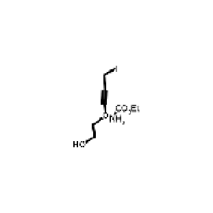 CCOC(N)=O.OCCOC#CCI